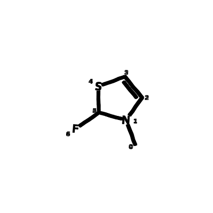 CN1C=CSC1F